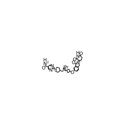 CC(C)N(CC1CCN(c2ncc(C(N)=O)cn2)CC1)C1CC(Oc2ccc3c(c2)C(=O)N([C@@H]2CCC(=O)NC2=O)C3)C1